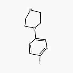 Fc1ccc(N2CC[N]CC2)cn1